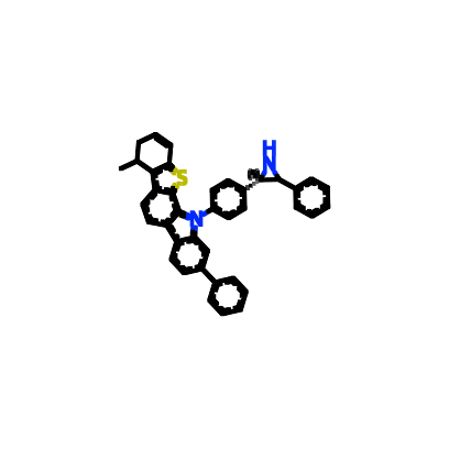 CC1CC=Cc2sc3c(ccc4c5ccc(-c6ccccc6)cc5n(-c5ccc([C@@H]6NC6c6ccccc6)cc5)c43)c21